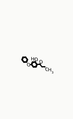 CCCC(=O)c1ccc(Oc2ccccc2)cc1O